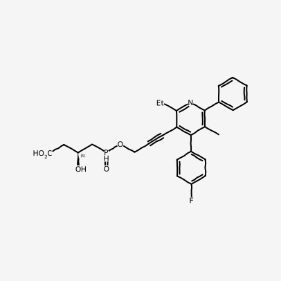 CCc1nc(-c2ccccc2)c(C)c(-c2ccc(F)cc2)c1C#CCO[PH](=O)C[C@@H](O)CC(=O)O